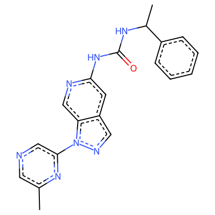 Cc1cncc(-n2ncc3cc(NC(=O)NC(C)c4ccccc4)ncc32)n1